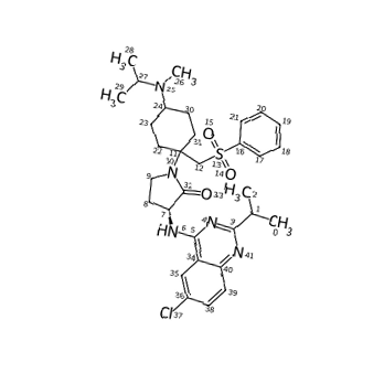 CC(C)c1nc(N[C@H]2CCN(C3(CS(=O)(=O)c4ccccc4)CCC(N(C)C(C)C)CC3)C2=O)c2cc(Cl)ccc2n1